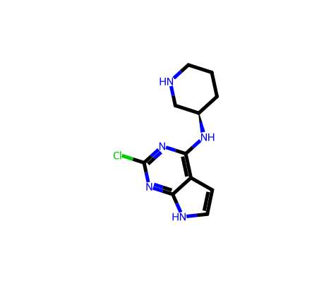 Clc1nc(N[C@@H]2CCCNC2)c2cc[nH]c2n1